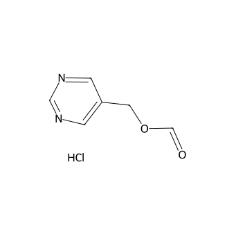 Cl.O=COCc1cncnc1